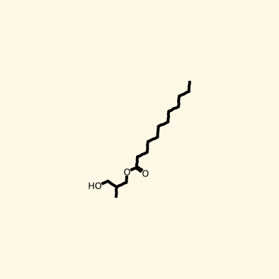 CCCCCCCCCCCC(=O)OCC(C)CO